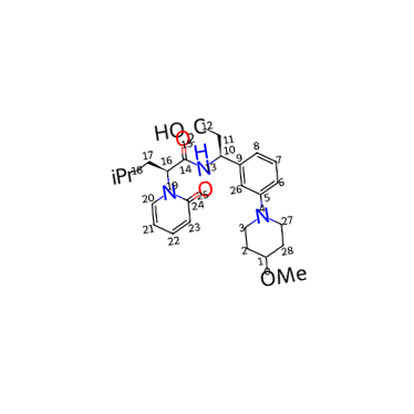 COC1CCN(c2cccc([C@H](CC(=O)O)NC(=O)[C@H](CC(C)C)n3ccccc3=O)c2)CC1